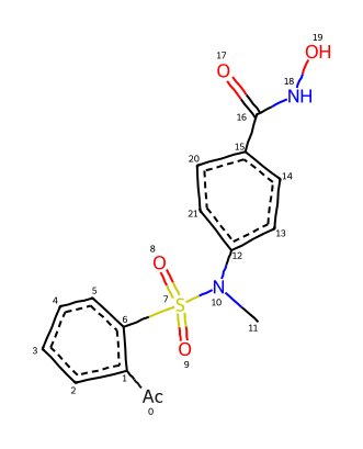 CC(=O)c1ccccc1S(=O)(=O)N(C)c1ccc(C(=O)NO)cc1